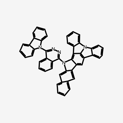 c1ccc2cc3c(cc2c1)c1cc2c4ccccc4n4c5ccccc5c(c1n3-c1nnc(-n3c5ccccc5c5ccccc53)c3ccccc13)c24